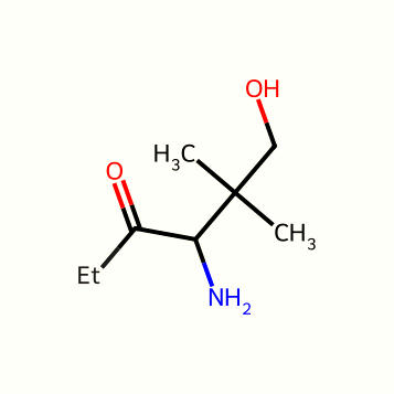 CCC(=O)C(N)C(C)(C)CO